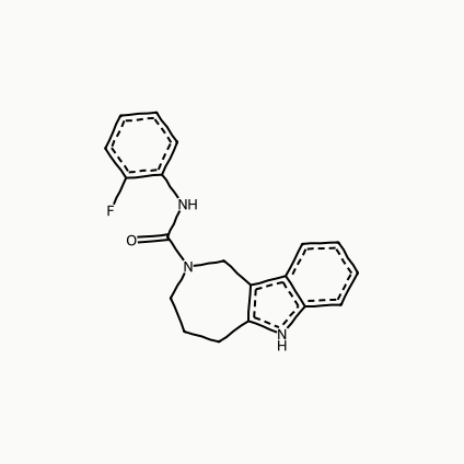 O=C(Nc1ccccc1F)N1CCCc2[nH]c3ccccc3c2C1